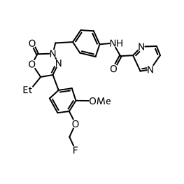 CCC1OC(=O)N(Cc2ccc(NC(=O)c3cnccn3)cc2)N=C1c1ccc(OCF)c(OC)c1